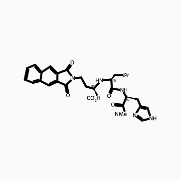 CNC(=O)[C@H](Cc1c[nH]cn1)NC(=O)[C@H](CC(C)C)N[C@H](CCN1C(=O)c2cc3ccccc3cc2C1=O)C(=O)O